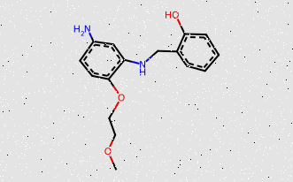 COCCOc1ccc(N)cc1NCc1ccccc1O